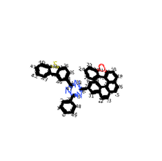 c1ccc(-c2nc(-c3ccc4c(ccc5ccc6ccc7oc8ccccc8c7c6c54)c3)nc(-c3ccc4sc5ccccc5c4c3)n2)cc1